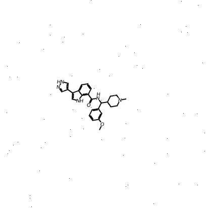 COc1cccc(C(NC(=O)c2cccc3c(-c4cn[nH]c4)c[nH]c23)C2CCN(C)CC2)c1